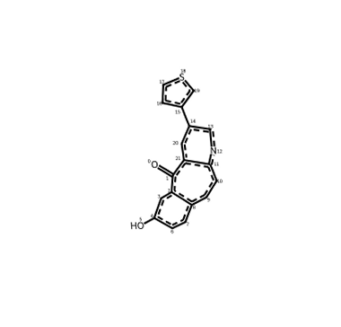 O=c1c2cc(O)ccc2ccc2ncc(-c3ccsc3)cc12